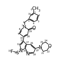 Cc1cccc(Cn2ccc(-c3cn(SF)c4ncc(N5CCOCC5)cc34)cc2=O)c1